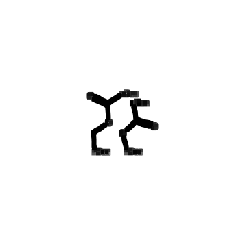 CCCCCCCCCCCOC(=O)CCCCCCCCCC.CCCCCCCCCCOC(=O)CCCCCCCCC